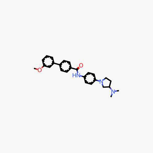 COc1cccc(-c2ccc(C(=O)Nc3ccc(N4CCC(N(C)C)C4)cc3)cc2)c1